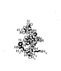 CC[C@H](C)[C@H](NC(=O)[C@@H](NC(=O)[C@H](CC(N)=O)NC(=O)[C@H](CCCNC(=N)N)NC(=O)[C@H](CCCCN)NC(=O)[C@H](CC(C)C)NC(=O)[C@@H](N)Cc1c[nH]c2ccccc12)C(C)C)C(=O)N1CCC[C@H]1C(=O)N[C@@H](CCC(=O)O)C(=O)N[C@H](C(=O)O)[C@@H](C)O